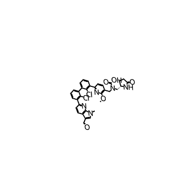 COc1nc(-c2cccc(-c3cccc(-c4ccc5c(C=O)cn(C)c5n4)c3Cl)c2Cl)ccc1CN(C[C@@H]1CCC(=O)N1)C(=O)O